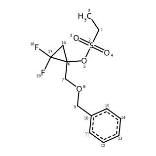 CCS(=O)(=O)OC1(COCc2ccccc2)CC1(F)F